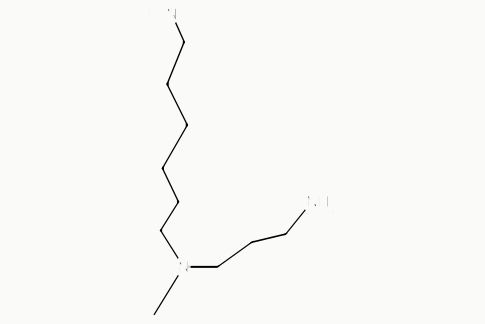 CN(CCCN)CCCCCCN